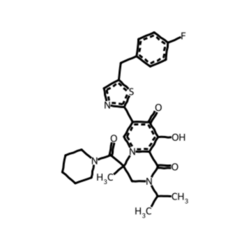 CC(C)N1CC(C)(C(=O)N2CCCCC2)n2cc(-c3ncc(Cc4ccc(F)cc4)s3)c(=O)c(O)c2C1=O